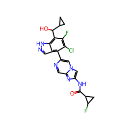 O=C(Nc1cn2cc(-c3c(Cl)c(F)c(C(O)C4CC4)c4[nH]ncc34)ncc2n1)C1CC1F